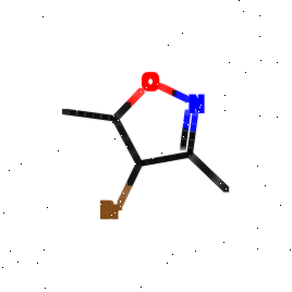 CC1=NOC(C)C1Br